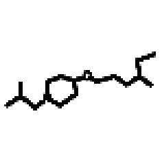 CCC(C)CCCOC1CCN(CC(C)C)CC1